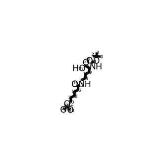 CC(C)(C)OC(=O)NC(CCCCNC(=O)CCCCCO[N+](=O)[O-])C(=O)O